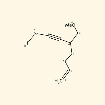 C=CCCC(C#CSI)COC